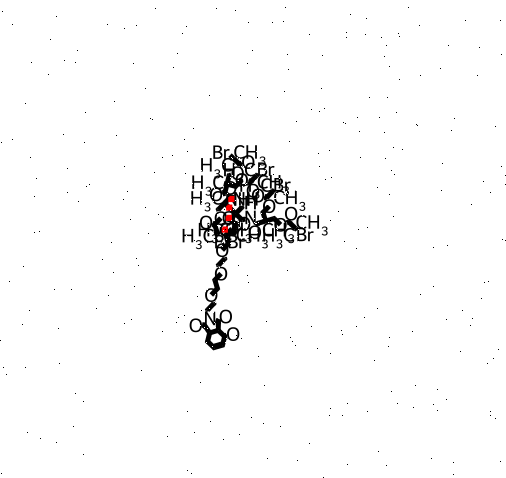 CC(C)(Br)C(=O)OCC(C)(COC(=O)C(C)(C)Br)C(=O)NCC(CNC(=O)C(C)(COC(=O)C(C)(C)Br)COC(=O)C(C)(C)Br)(CNC(=O)C(C)(COC(=O)C(C)(C)Br)COC(=O)C(C)(C)Br)COCCOCCOCCOCCN1C(=O)C2CC=CC(=O)C2C1=O